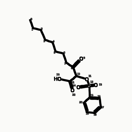 CCCCCCCCC(=O)C(OS(=O)(=O)c1ccccc1)C(=O)O